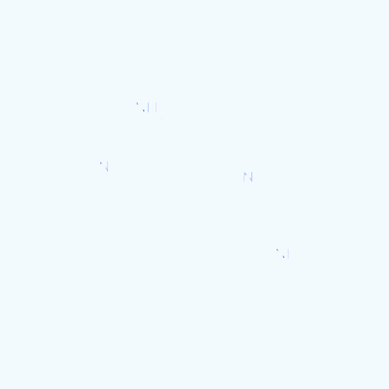 CNc1cc2ccnc(N)c2cn1